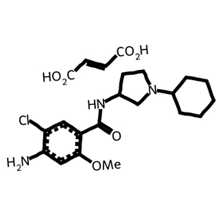 COc1cc(N)c(Cl)cc1C(=O)NC1CCN(C2CCCCC2)C1.O=C(O)/C=C/C(=O)O